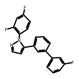 Fc1cccc(-c2cccc(-c3ccnn3-c3ccc(F)cc3F)c2)c1